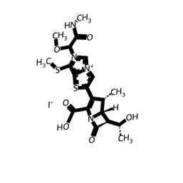 CNC(=O)C(OC)n1c[n+]2cc(C3=C(C(=O)O)N4C(=O)[C@H]([C@@H](C)O)[C@H]4[C@H]3C)sc2c1SC.[I-]